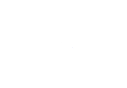 CN(C)CCOC(OCCN(C)C)C(OCCN(C)C)OCCN(C)C